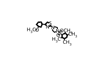 COc1cccc(-c2csc(N3CCN(S(=O)(=O)c4c(C)c(C)cc(C)c4C)CC3)n2)c1